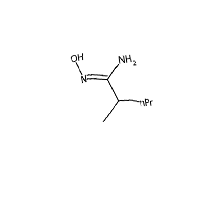 CCCC(C)/C(N)=N/O